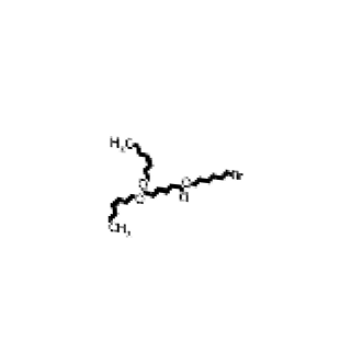 CCC/C=C\CCOC(CCCCC(=O)OCCCCCCBr)OCC/C=C\CCC